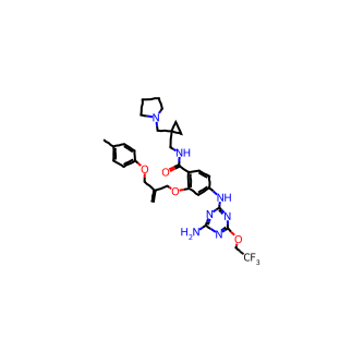 C=C(COc1ccc(C)cc1)COc1cc(Nc2nc(N)nc(OCC(F)(F)F)n2)ccc1C(=O)NCC1(CN2CCCC2)CC1